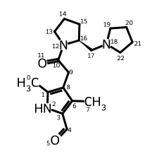 Cc1[nH]c(C=O)c(C)c1CC(=O)N1CCC[C@H]1CN1CCCC1